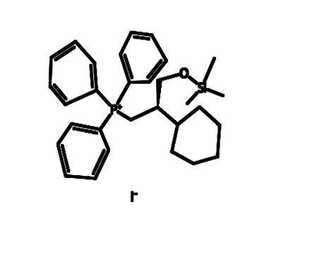 C[Si](C)(C)OC[C@H](C[P+](c1ccccc1)(c1ccccc1)c1ccccc1)C1CCCCC1.[I-]